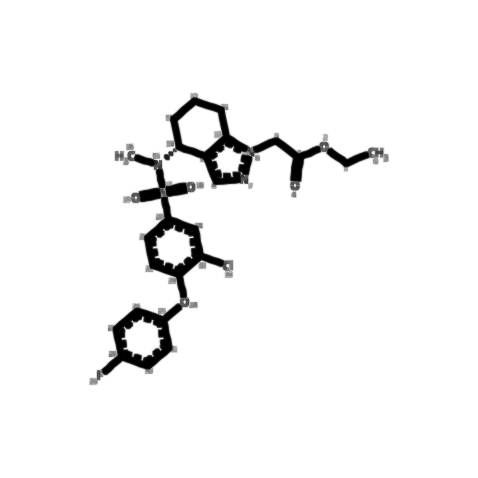 CCOC(=O)Cn1ncc2c1CCC[C@H]2N(C)S(=O)(=O)c1ccc(Oc2ccc(F)cc2)c(Cl)c1